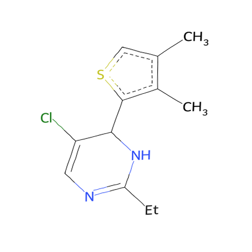 CCC1=NC=C(Cl)C(c2scc(C)c2C)N1